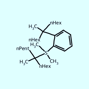 CCCCCCC(C)(CCCCCC)c1ccccc1S(C)(C)C(C)(CCCCC)CCCCCC